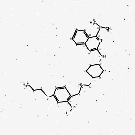 CCCOc1ccc(CNC[C@H]2CC[C@@H](Nc3nc(N(C)C)c4ccccc4n3)CC2)c(OC)c1